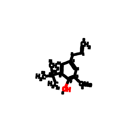 C=CCc1cc(OC)c(O)c([Si](C)(C)C)c1